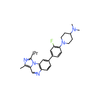 Cc1nc(C(C)C)n2c1cnc1ccc(-c3ccc(N4CCC(N(C)C)CC4)c(F)c3)cc12